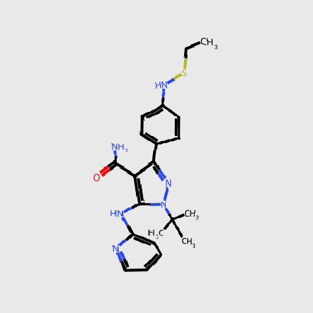 CCSNc1ccc(-c2nn(C(C)(C)C)c(Nc3ccccn3)c2C(N)=O)cc1